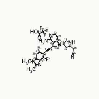 Cc1nc2c(F)c(C#Cc3nn([C@@H]4CN[C@@H](CC#N)C4)c4ccnc(N)c34)c(F)cc2n1C.O=C(O)C(F)(F)F